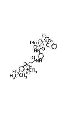 CCC(C)(C)c1ccc(OCCCC(=O)Nc2cccc(NC(=O)C(Cl)(OCN3C(=O)CN(Cc4ccccc4)C3=O)C(=O)C(C)(C)C)c2)c(C(C)(C)CC)c1